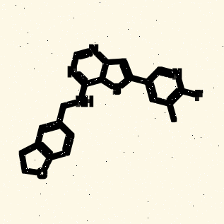 Cc1cc(C2=CC3N=CN=C(NCc4ccc5c(c4)CCO5)C3S2)cnc1F